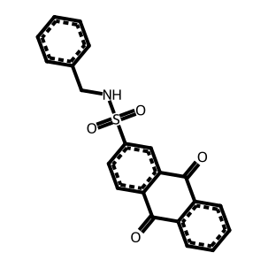 O=C1c2ccccc2C(=O)c2cc(S(=O)(=O)NCc3ccccc3)ccc21